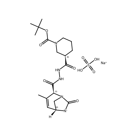 CC1=C[C@@H]2CN(C(=O)[N-]2)[C@@H]1C(=O)NNC(=O)[C@@H]1CCCN(C(=O)OC(C)(C)C)C1.O=S(=O)(O)O.[Na+]